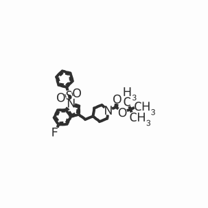 CC(C)(C)OC(=O)N1CCC(Cc2cn(S(=O)(=O)c3ccccc3)c3ccc(F)cc23)CC1